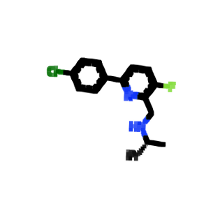 CC(C)[C@@H](C)NCc1nc(-c2ccc(Cl)cc2)ccc1F